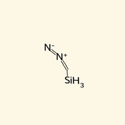 [N-]=[N+]=C[SiH3]